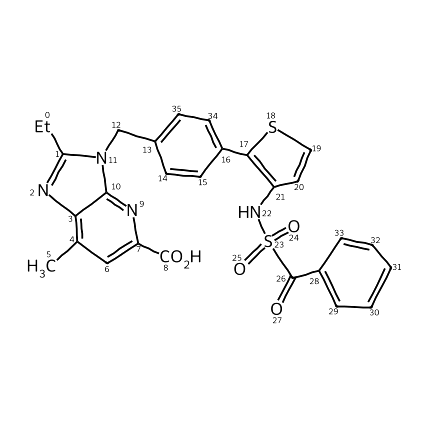 CCc1nc2c(C)cc(C(=O)O)nc2n1Cc1ccc(-c2sccc2NS(=O)(=O)C(=O)c2ccccc2)cc1